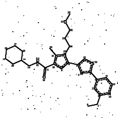 CCc1cc(-c2nc(-c3cc(C(=O)NCC4CCCCC4)c(C)n3CCCOC)cs2)ccn1